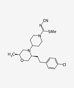 CS/C(=N\C#N)N1CCC(N2C[C@H](C)OC[C@@H]2CCc2ccc(Cl)cc2)CC1